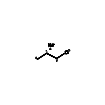 CCCCl.[Na]